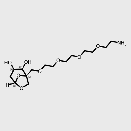 NCCOCCOCCOCCOC[C@]12CO[C@H](C[C@@H](O)[C@H]1O)O2